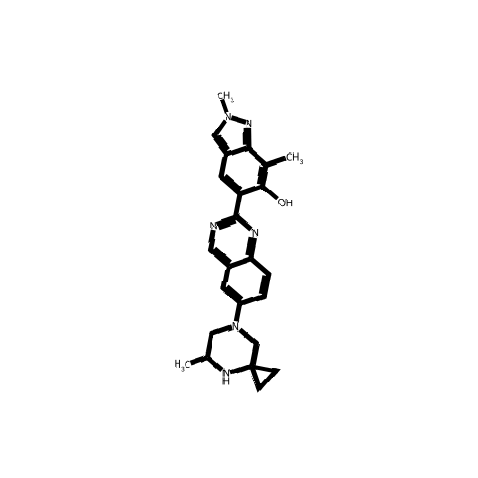 Cc1c(O)c(-c2ncc3cc(N4CC(C)NC5(CC5)C4)ccc3n2)cc2cn(C)nc12